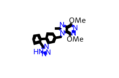 COc1nnc(OC)c2c1nc(C)n2Cc1ccc(-c2ccccc2-c2nnn[nH]2)cc1